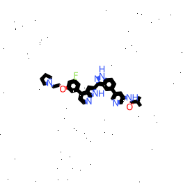 CC(C)C(=O)Nc1cncc(-c2ccc3[nH]nc(-c4cc5c(-c6cc(F)cc(OCCN7CCCC7)c6)ccnc5[nH]4)c3c2)c1